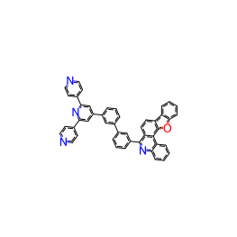 c1cc(-c2cccc(-c3nc4ccccc4c4c3ccc3c5ccccc5oc34)c2)cc(-c2cc(-c3ccncc3)nc(-c3ccncc3)c2)c1